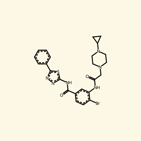 O=C(CN1CCN(C2CC2)CC1)Nc1cc(C(=O)Nc2nnc(-c3ccccc3)s2)ccc1Br